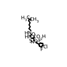 CN(C)CCCCCCNC(=O)Nc1snc(OCc2cc(F)c(Cl)cc2F)c1C(=O)O